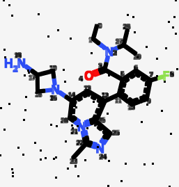 CCN(C(=O)c1cc(F)ccc1-c1cc(N2CC(N)C2)cn2c(C)ncc12)C(C)C